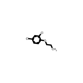 CCCOc1ccc(Cl)cc1Cl